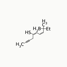 BC(C)(/C=C\C=C(\S)CC#CC)CC